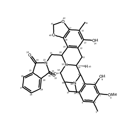 COc1c(C)cc2c(c1O)C1[C@@H]3Cc4c(O)c(C)c5c(c4C(CN4C(=O)c6ccccc6C4=O)N3[C@@H](C#N)C(C2)N1C)OCO5